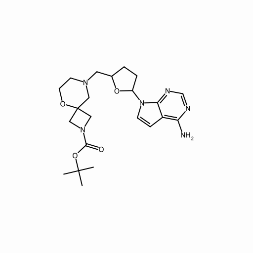 CC(C)(C)OC(=O)N1CC2(CN(CC3CCC(n4ccc5c(N)ncnc54)O3)CCO2)C1